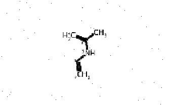 C=CNC(=C)C